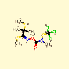 CSC(=NOC(=O)N(C)SC(Cl)(Cl)Cl)C(C)(C)SC